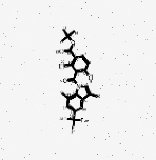 Cc1cn(C(=O)c2c(Cl)ccc(C(=O)OC(C)(C)C)c2Cl)c2c(C)cc(C(F)(F)F)cc12